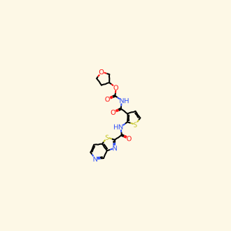 O=C(NC(=O)c1ccsc1NC(=O)c1nc2cnccc2s1)OC1CCOC1